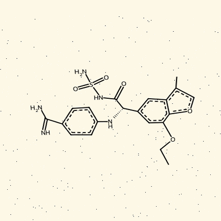 CCOc1cc([C@H](Nc2ccc(C(=N)N)cc2)C(=O)NS(N)(=O)=O)cc2c(C)coc12